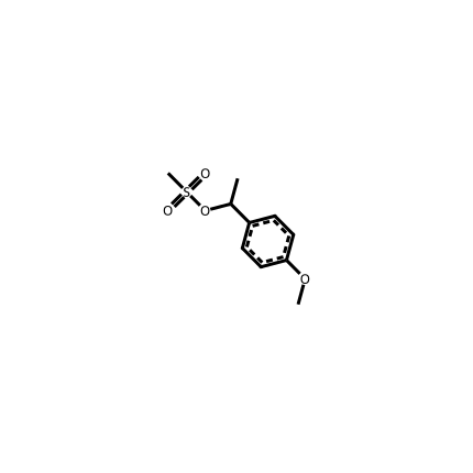 COc1ccc(C(C)OS(C)(=O)=O)cc1